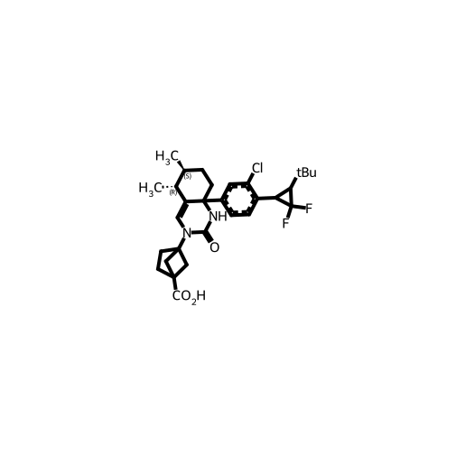 C[C@H]1CCC2(c3ccc(C4C(C(C)(C)C)C4(F)F)c(Cl)c3)NC(=O)N(C34CCC(C(=O)O)(C3)C4)C=C2[C@@H]1C